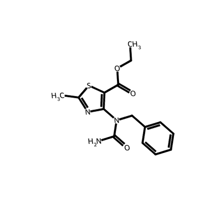 CCOC(=O)c1sc(C)nc1N(Cc1ccccc1)C(N)=O